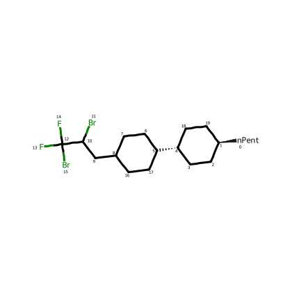 CCCCC[C@H]1CC[C@H](C2CCC(CC(Br)C(F)(F)Br)CC2)CC1